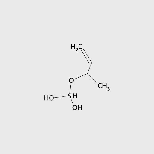 C=CC(C)O[SiH](O)O